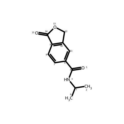 CC(C)NC(=O)c1ccc2c(c1)COC2=O